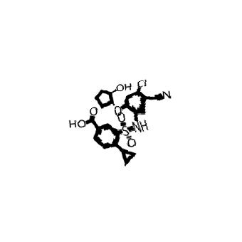 N#Cc1cc(NS(=O)(=O)c2cc(C(=O)O)ccc2C2CC2)c(O[C@@H]2CCC[C@H]2O)cc1Cl